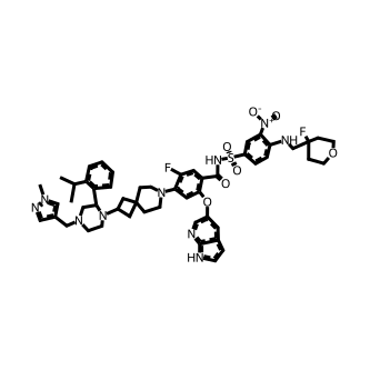 CC(C)c1ccccc1C1CN(Cc2cnn(C)c2)CCN1C1CC2(CCN(c3cc(Oc4cnc5[nH]ccc5c4)c(C(=O)NS(=O)(=O)c4ccc(NCC5(F)CCOCC5)c([N+](=O)[O-])c4)cc3F)CC2)C1